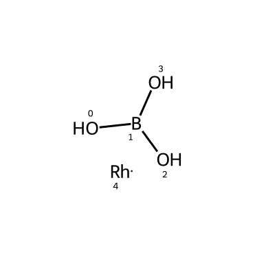 OB(O)O.[Rh]